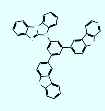 c1ccc2c(c1)nc1n(-c3cc(-c4ccc5oc6ccccc6c5c4)cc(-c4ccc5oc6cnccc6c5c4)c3)c3ccccc3n21